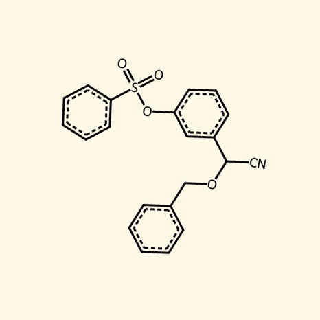 N#CC(OCc1ccccc1)c1cccc(OS(=O)(=O)c2ccccc2)c1